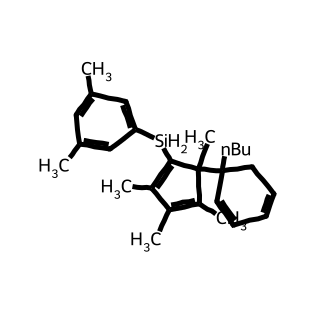 CCCCC1(C2(C)C(C)=C(C)C(C)=C2[SiH2]c2cc(C)cc(C)c2)C=CC=CC1